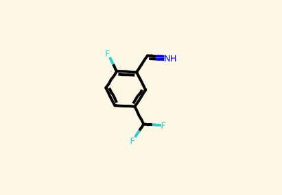 N=Cc1cc(C(F)F)ccc1F